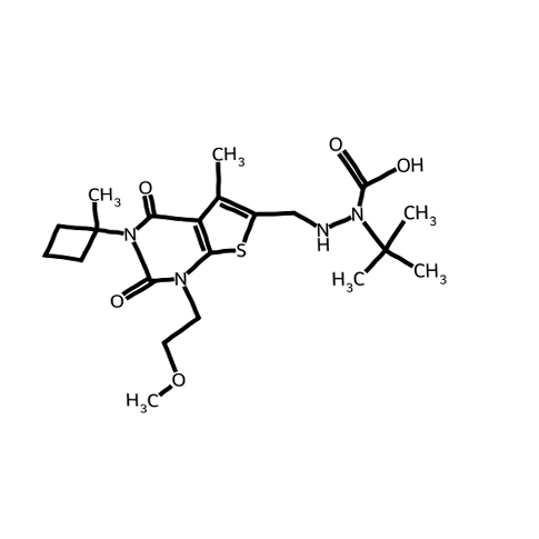 COCCn1c(=O)n(C2(C)CCC2)c(=O)c2c(C)c(CNN(C(=O)O)C(C)(C)C)sc21